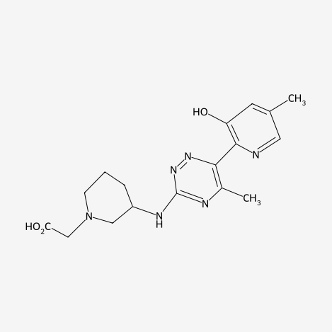 Cc1cnc(-c2nnc(NC3CCCN(CC(=O)O)C3)nc2C)c(O)c1